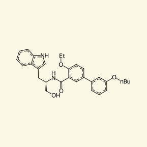 CCCCOc1cccc(-c2ccc(OCC)c(C(=O)N[C@@H](CO)Cc3c[nH]c4ccccc34)c2)c1